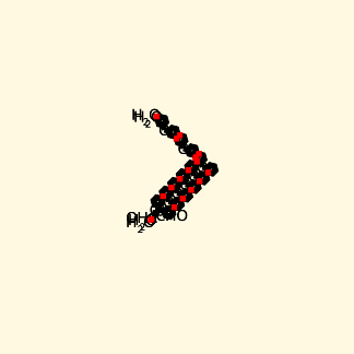 O.O.O.O.O=CC(=O)C=O.c1ccc(Oc2ccccc2)cc1.c1ccc(Oc2ccccc2)cc1.c1ccc(Oc2ccccc2)cc1.c1ccc(Oc2ccccc2)cc1.c1ccc(Oc2ccccc2)cc1.c1ccc(Oc2ccccc2)cc1.c1ccc(Oc2ccccc2)cc1.c1ccc(Oc2ccccc2)cc1